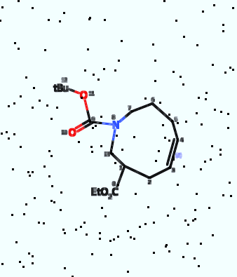 CCOC(=O)C1C/C=C\CCCN(C(=O)OC(C)(C)C)C1